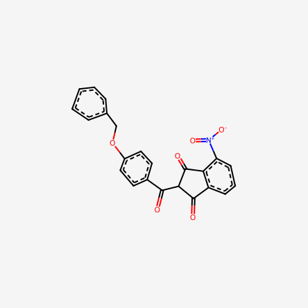 O=C(c1ccc(OCc2ccccc2)cc1)C1C(=O)c2cccc([N+](=O)[O-])c2C1=O